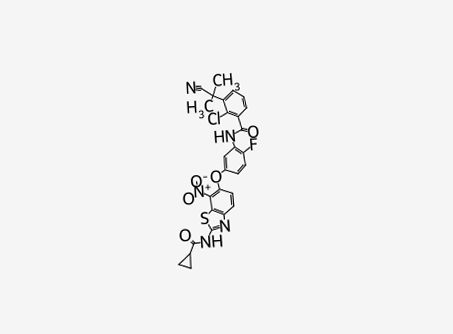 CC(C)(C#N)c1cccc(C(=O)Nc2cc(Oc3ccc4nc(NC(=O)C5CC5)sc4c3[N+](=O)[O-])ccc2F)c1Cl